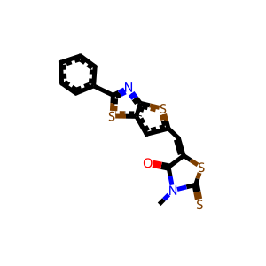 CN1C(=O)/C(=C\c2cc3sc(-c4ccccc4)nc3s2)SC1=S